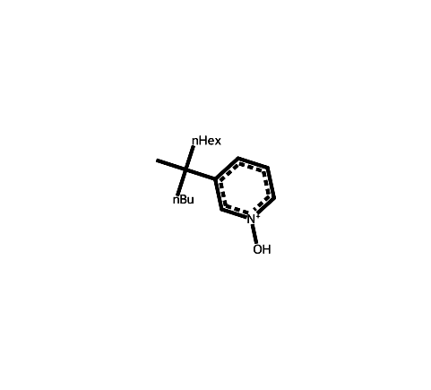 CCCCCCC(C)(CCCC)c1ccc[n+](O)c1